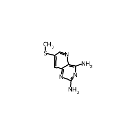 CSc1cnc2c(N)nc(N)nc2c1